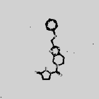 O=C1CCC(C(=O)N2CCc3nc(COc4ccccc4)oc3C2)N1